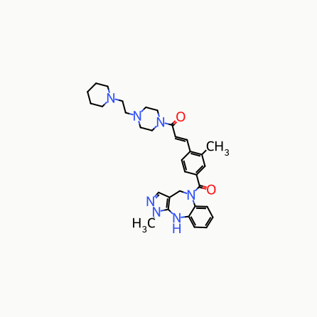 Cc1cc(C(=O)N2Cc3cnn(C)c3Nc3ccccc32)ccc1/C=C/C(=O)N1CCN(CCN2CCCCC2)CC1